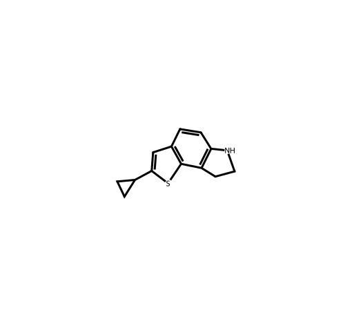 c1cc2cc(C3CC3)sc2c2c1NCC2